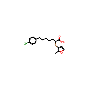 Cc1occc1SC(CCCCCc1ccc(Cl)cc1)C(=O)O